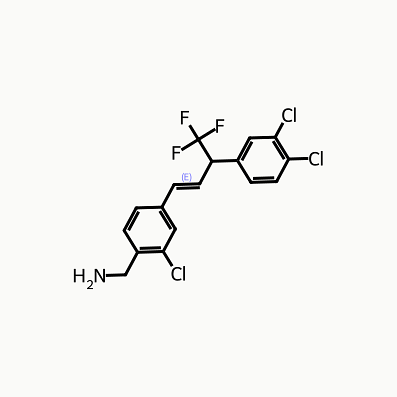 NCc1ccc(/C=C/C(c2ccc(Cl)c(Cl)c2)C(F)(F)F)cc1Cl